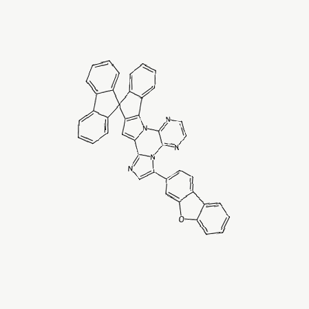 c1ccc2c(c1)-c1ccccc1C21c2ccccc2-c2c1cc1c3ncc(-c4ccc5c(c4)oc4ccccc45)n3c3nccnc3n21